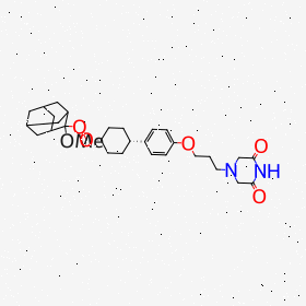 COC1(OO[C@H]2CC[C@@H](c3ccc(OCCCN4CC(=O)NC(=O)C4)cc3)CC2)C2CC3CC(C2)CC1C3